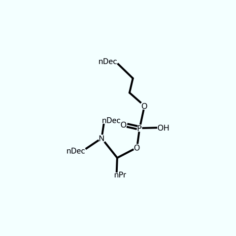 CCCCCCCCCCCCOP(=O)(O)OC(CCC)N(CCCCCCCCCC)CCCCCCCCCC